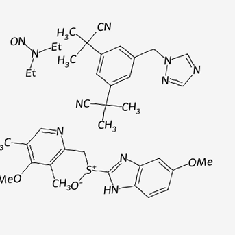 CC(C)(C#N)c1cc(Cn2cncn2)cc(C(C)(C)C#N)c1.CCN(CC)N=O.COc1ccc2[nH]c([S+]([O-])Cc3ncc(C)c(OC)c3C)nc2c1